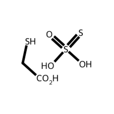 O=C(O)CS.O=S(O)(O)=S